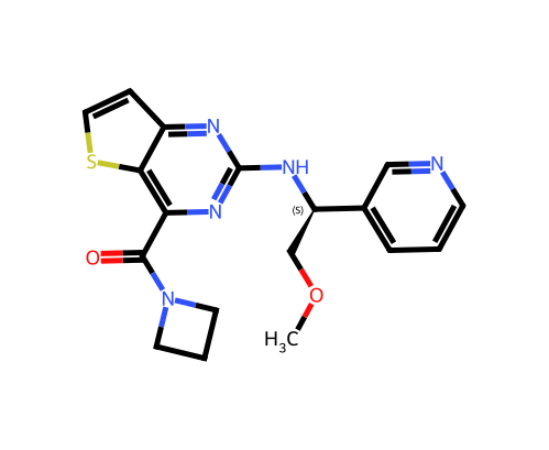 COC[C@@H](Nc1nc(C(=O)N2CCC2)c2sccc2n1)c1cccnc1